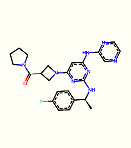 C[C@H](Nc1nc(Nc2cnccn2)cc(N2CC(C(=O)N3CCCC3)C2)n1)c1ccc(F)cc1